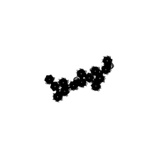 c1ccc(-c2ccc(-n3c4ccccc4c4ccc5c(c6ccccc6n5-c5ccc6c(c5)oc5c(-c7ccccc7-c7ccc(-n8c9ccccc9c9ccc%10c(c%11ccccc%11n%10-c%10ccc%11oc%12ccccc%12c%11c%10)c98)cc7)cccc56)c43)cc2)cc1